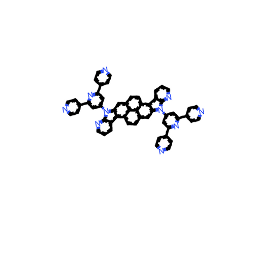 c1cnc2c(c1)c1c3ccc4cc5c(c6ccc(cc1n2-c1cc(-c2ccncc2)nc(-c2ccncc2)c1)c3c46)c1cccnc1n5-c1cc(-c2ccncc2)nc(-c2ccncc2)c1